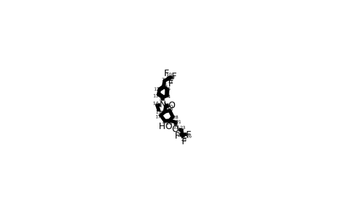 O=C1N(c2ccc(CC(F)(F)F)cc2)CC[C@]12CC[C@](O)(COCC(F)(F)F)CC2